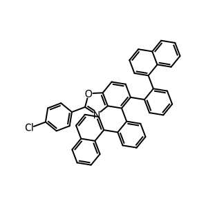 Clc1ccc(-c2nc3c(-c4ccccc4-c4cccc5ccccc45)c(-c4ccccc4-c4cccc5ccccc45)ccc3o2)cc1